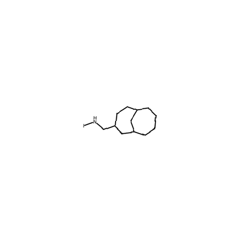 INCC1CCC2CCCCC(C2)C1